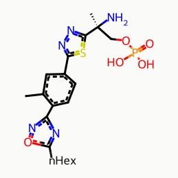 CCCCCCc1nc(-c2ccc(-c3nnc([C@@](C)(N)COP(=O)(O)O)s3)cc2C)no1